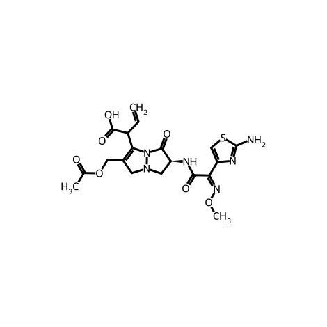 C=CC(C(=O)O)C1=C(COC(C)=O)CN2C[C@H](NC(=O)/C(=N\OC)c3csc(N)n3)C(=O)N12